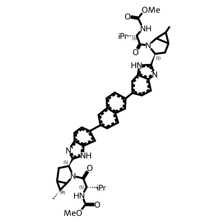 COC(=O)N[C@H](C(=O)N1C2C(C)C2C[C@H]1c1nc2ccc(-c3ccc4cc(-c5ccc6nc([C@@H]7CC8C([C@@H]8C)N7C(=O)[C@@H](NC(=O)OC)C(C)C)[nH]c6c5)ccc4c3)cc2[nH]1)C(C)C